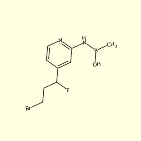 CB(O)Nc1cc(C(F)CCBr)ccn1